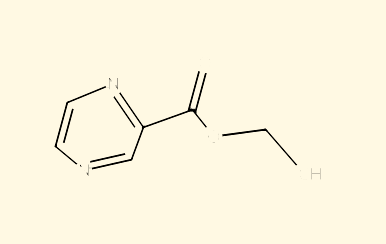 CCOC(=O)c1cnccn1